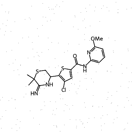 COc1cccc(NC(=O)c2cc(Cl)c(C3CSC(C)(C)C(=N)N3)s2)n1